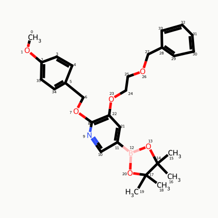 COc1ccc(COc2ncc(B3OC(C)(C)C(C)(C)O3)cc2OCCOCc2ccccc2)cc1